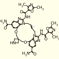 Cc1nc(C)c(C(=O)Nc2nc3cc(C(N)=O)cc4c3n2C/C=C/Cn2c(NC(=O)c3oc(C)nc3C)nc3cc(C(N)=O)cc(c32)OCC2(CNC2)CO4)o1